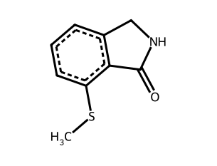 CSc1cccc2c1C(=O)NC2